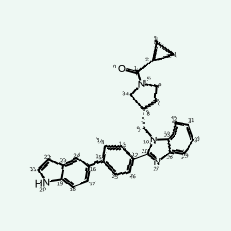 O=C(C1CC1)N1CC[C@H](Cn2c(-c3ccc(-c4ccc5[nH]ccc5c4)cc3)nc3ccccc32)C1